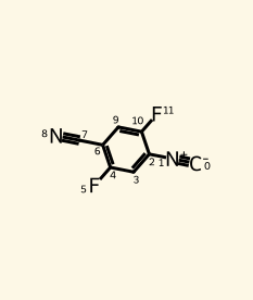 [C-]#[N+]c1cc(F)c(C#N)cc1F